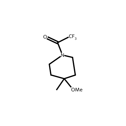 COC1(C)CCN(C(=O)C(F)(F)F)CC1